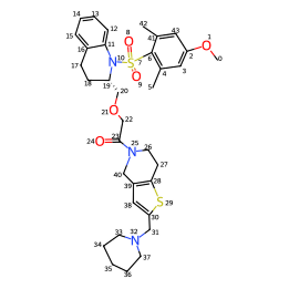 COc1cc(C)c(S(=O)(=O)N2c3ccccc3CC[C@H]2COCC(=O)N2CCc3sc(CN4CCCCC4)cc3C2)c(C)c1